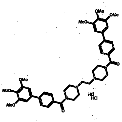 COc1cc(-c2ccc(C(=O)N3CCN(CCN4CCN(C(=O)c5ccc(-c6cc(OC)c(OC)c(OC)c6)cc5)CC4)CC3)cc2)cc(OC)c1OC.Cl.Cl